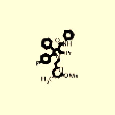 CO[C@H]1C[C@H](C)CC(CCn2c(-c3ccc(F)cc3)c(-c3ccccc3)c(C(=O)Nc3ccccc3)c2C(C)C)O1